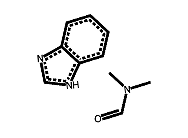 CN(C)C=O.c1ccc2[nH]cnc2c1